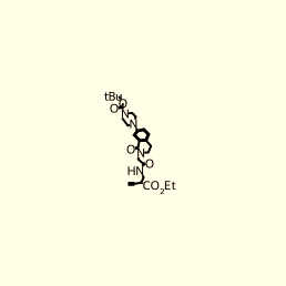 C#C[C@@H](CNC(=O)CN1CCc2ccc(N3CCN(C(=O)OC(C)(C)C)CC3)cc2C1=O)C(=O)OCC